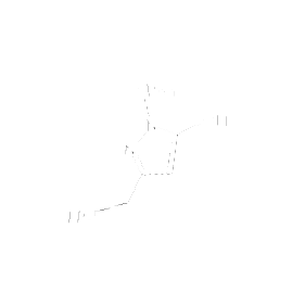 CCCCCn1nc(CO)cc1O